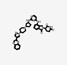 O=C1CCC(N2Cc3c(Nc4ccnc(NC5CCC(N6CCC(n7cc(-c8cnc9ccccc9n8)cn7)CC6)C5)n4)cccc3C2=O)C(=O)N1